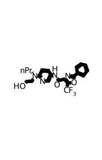 CCCN(CCO)c1ccc(NC(=O)c2nc(-c3ccccc3)oc2C(F)(F)F)cn1